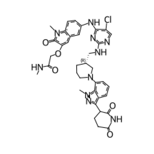 CNC(=O)COc1cc2cc(Nc3nc(NC[C@H]4CCCN(c5cccc6c(C7CCC(=O)NC7=O)nn(C)c56)C4)ncc3Cl)ccc2n(C)c1=O